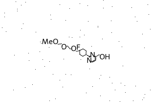 COCCOCCOC[C@]1(F)CC[C@@H](c2nccc(CO)n2)CC1